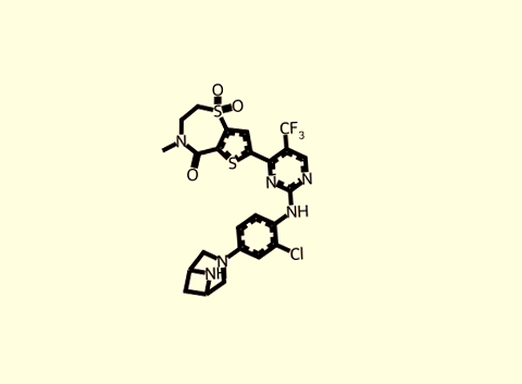 CN1CCS(=O)(=O)c2cc(-c3nc(Nc4ccc(N5CC6CC(C5)N6)cc4Cl)ncc3C(F)(F)F)sc2C1=O